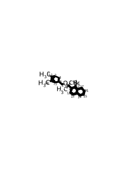 CC1C2CC(COC(C)(C)c3ccc4ccccc4c3Br)C(C2)C1C